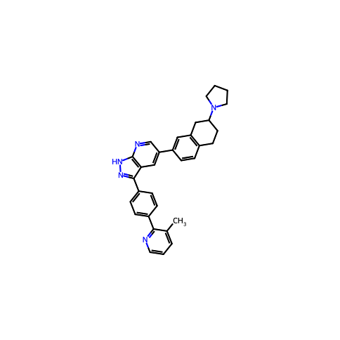 Cc1cccnc1-c1ccc(-c2n[nH]c3ncc(-c4ccc5c(c4)CC(N4CCCC4)CC5)cc23)cc1